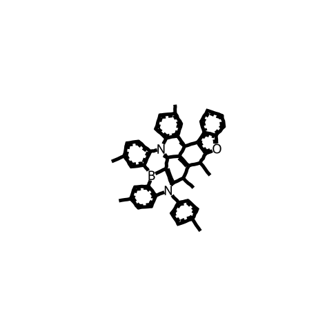 Cc1ccc(N2C3=C4B(c5cc(C)ccc52)c2cc(C)ccc2N2c5ccc(C)cc5C5(C)C(=C(C3C)C(C)c3oc6ccccc6c35)C42C)cc1